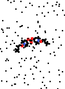 CC(CON1C(C)(C)CC(OC(=O)OC2CC(C)(C)N(OCC(C)CC(C)(C)C)C(C)(C)C2)CC1(C)C)CC(C)(C)C